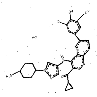 Cl.NC1CCC(n2cc(Nc3c(C(=O)C4CC4)cnc4ccc(-c5cc(Cl)c(O)c(Cl)c5)cc34)cn2)CC1